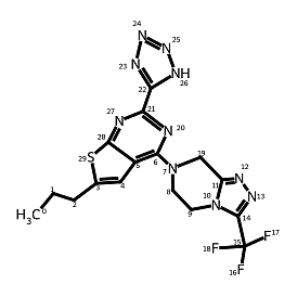 CCCc1cc2c(N3CCn4c(nnc4C(F)(F)F)C3)nc(-c3nnn[nH]3)nc2s1